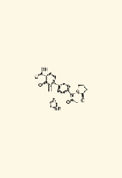 CC(=O)N(c1ccc(-c2ccc(C(=O)O)c(=O)[nH]2)cc1)N1CCCC1=O.c1c[nH]cn1